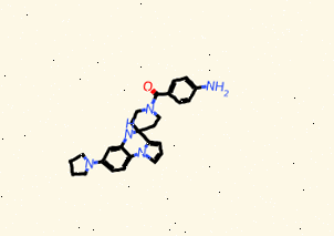 Nc1ccc(C(=O)N2CCC3(CC2)Nc2cc(N4CCCC4)ccc2-n2cccc23)cc1